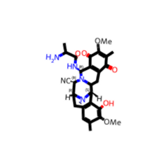 COC1=C(C)C(=O)C2=C(C1=O)[C@H](NC(=O)C(C)N)N1C(C2)[C@@H]2c3c(cc(C)c(OC)c3O)C[C@H]([C@@H]1C#N)N2C